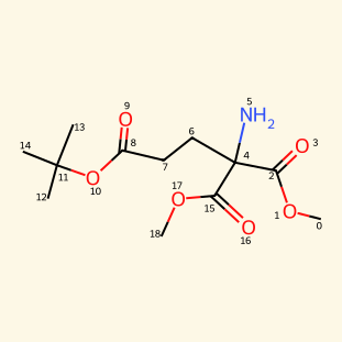 COC(=O)C(N)(CCC(=O)OC(C)(C)C)C(=O)OC